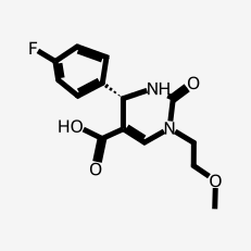 COCCN1C=C(C(=O)O)[C@H](c2ccc(F)cc2)NC1=O